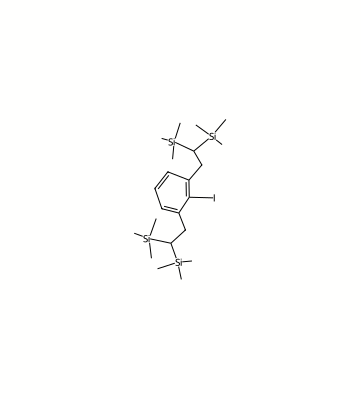 C[Si](C)(C)C(Cc1cccc(CC([Si](C)(C)C)[Si](C)(C)C)c1I)[Si](C)(C)C